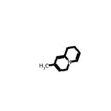 CC1=CCN2C=CCCC2=C1